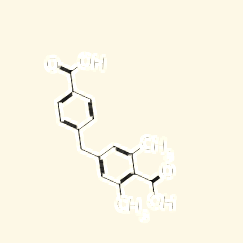 Cc1cc(Cc2ccc(C(=O)O)cc2)cc(C)c1C(=O)O